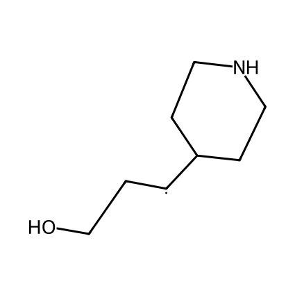 OCC[CH]C1CCNCC1